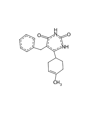 CC1=CCC(c2[nH]c(=O)[nH]c(=O)c2Cc2ccccc2)CC1